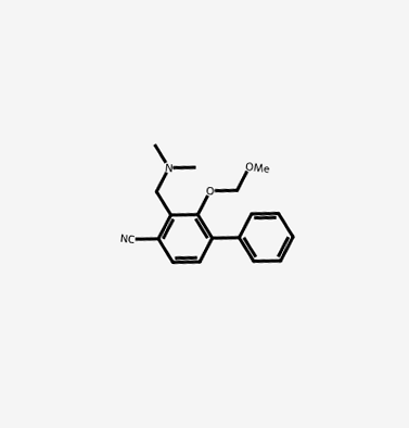 COCOc1c(-c2ccccc2)ccc(C#N)c1CN(C)C